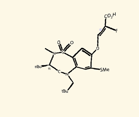 CCCC[C@@H]1CN(CC(C)(C)C)c2cc(SC)c(O/C=C(\F)C(=O)O)cc2S(=O)(=O)N1C